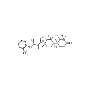 CN1C(=O)C=C[C@]2(C)[C@H]3CC[C@]4(C)[C@@H](NC(=O)Oc5ccccc5C(F)(F)F)CC[C@H]4[C@@H]3CC[C@@H]12